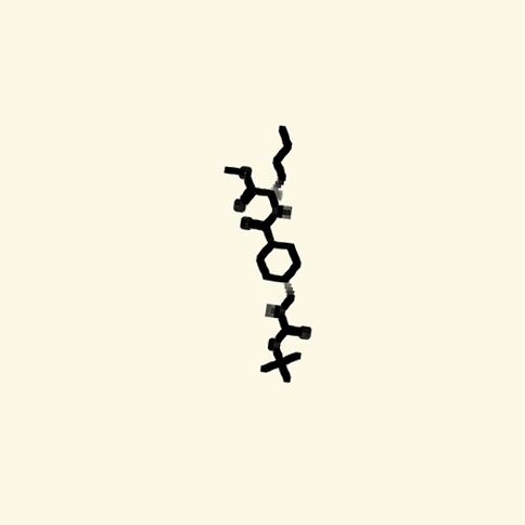 CCCC[C@H](NC(=O)[C@H]1CC[C@H](CNC(=O)OC(C)(C)C)CC1)C(=O)OC